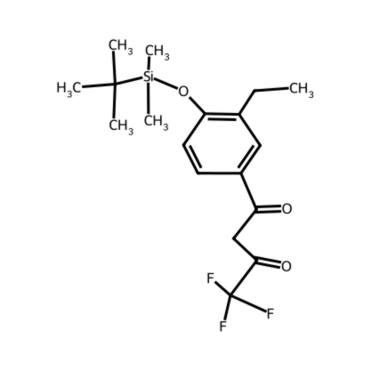 CCc1cc(C(=O)CC(=O)C(F)(F)F)ccc1O[Si](C)(C)C(C)(C)C